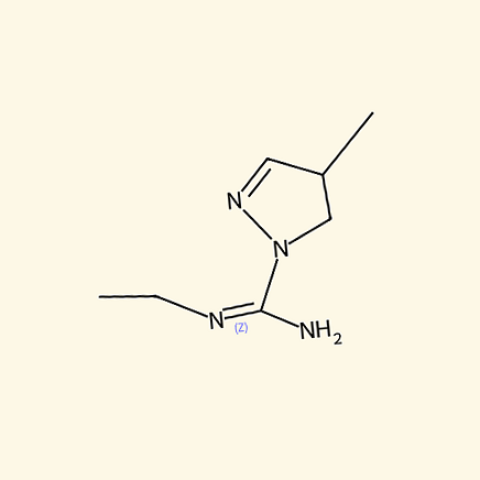 CC/N=C(/N)N1CC(C)C=N1